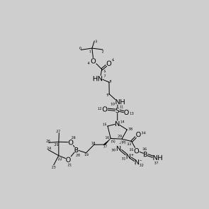 CC(C)(C)OC(=O)NCCNS(=O)(=O)N1C[C@H](CCCB2OC(C)(C)C(C)(C)O2)[C@](N=[N+]=[N-])(C(=O)OB=N)C1